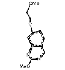 COCCOc1ccc2cnc(OC)nc2c1